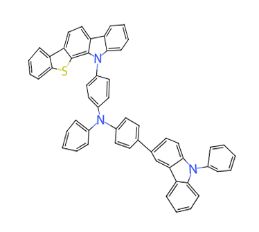 c1ccc(N(c2ccc(-c3ccc4c(c3)c3ccccc3n4-c3ccccc3)cc2)c2ccc(-n3c4ccccc4c4ccc5c6ccccc6sc5c43)cc2)cc1